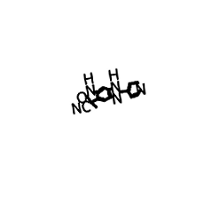 CC1(C#N)C(=O)Nc2cc3[nH]c(-c4ccncc4)nc3cc21